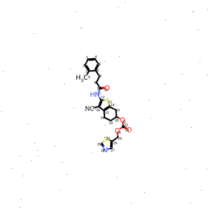 Cc1ccccc1CCC(=O)Nc1sc2c(c1C#N)CCC(OC(=O)OCc1cncs1)C2